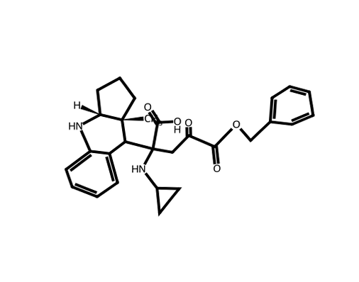 C[C@]12CCC[C@H]1Nc1ccccc1C2C(CC(=O)C(=O)OCc1ccccc1)(NC1CC1)C(=O)O